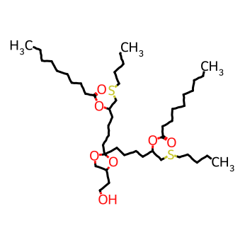 CCCCCCCCCC(=O)OC(CCCCC1(CCCCC(CSCCCCC)OC(=O)CCCCCCCCC)OCC(CCO)O1)CSCCCCC